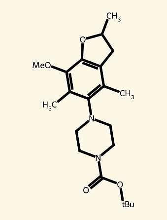 COc1c(C)c(N2CCN(C(=O)OC(C)(C)C)CC2)c(C)c2c1OC(C)C2